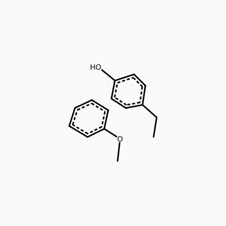 CCc1ccc(O)cc1.COc1ccccc1